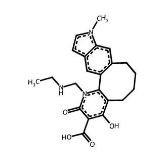 CCNCn1c2c(c(O)c(C(=O)O)c1=O)CCCCc1cc3c(ccn3C)cc1-2